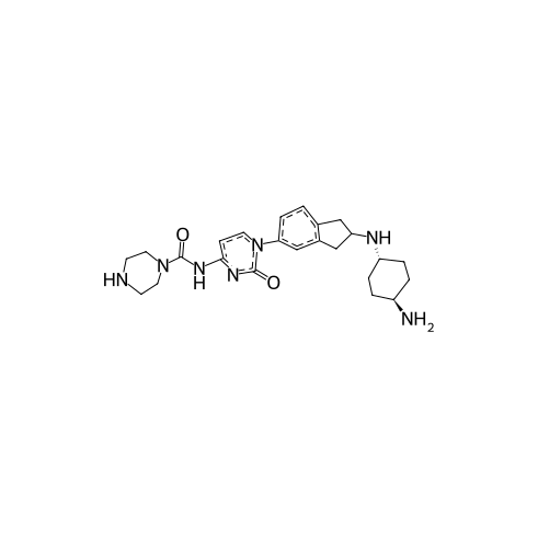 N[C@H]1CC[C@H](NC2Cc3ccc(-n4ccc(NC(=O)N5CCNCC5)nc4=O)cc3C2)CC1